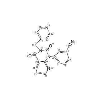 N#Cc1cccc(-n2c(=O)n(Cc3ccncc3)c(=O)c3cccnc32)c1